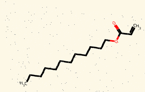 [CH2]CCCCCCCCCCCOC(=O)C=C